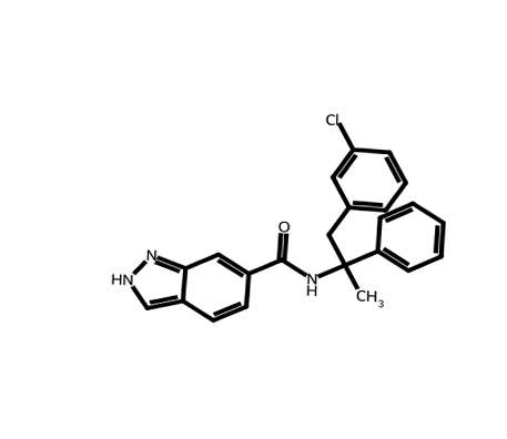 CC(Cc1cccc(Cl)c1)(NC(=O)c1ccc2c[nH]nc2c1)c1ccccc1